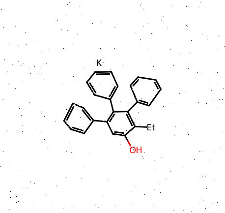 CCc1c(O)cc(-c2ccccc2)c(-c2ccccc2)c1-c1ccccc1.[K]